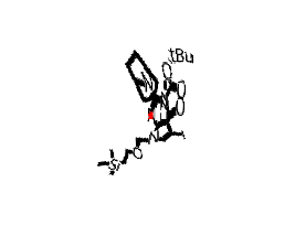 Cn1c(N2C3CCC2CC(C)(NC(=O)OC(C)(C)C)C3)nc2c(c(I)cn2COCC[Si](C)(C)C)c1=O